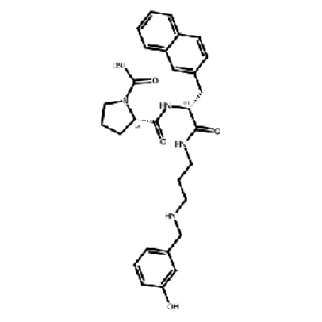 CC(C)(C)C(=O)N1CCC[C@H]1C(=O)N[C@H](Cc1ccc2ccccc2c1)C(=O)NCCCNCc1cccc(O)c1